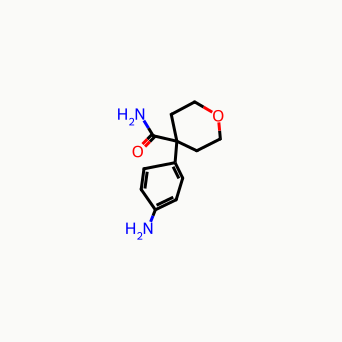 NC(=O)C1(c2ccc(N)cc2)CCOCC1